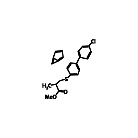 COC(=O)C(C)CSc1ccc(-c2ccc(Cl)cc2)cc1.c1cc2cc-2c1